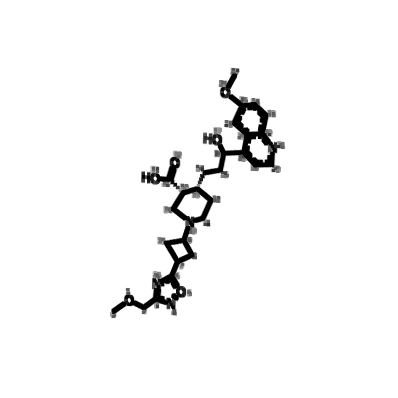 COCc1noc(C2CC(N3CC[C@@H](CCC(O)c4ccnc5ccc(OC)cc45)[C@@H](C(=O)O)C3)C2)n1